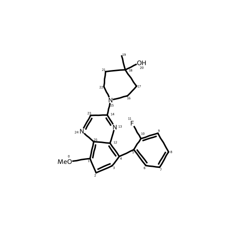 COc1ccc(-c2ccccc2F)c2nc(N3CCC(C)(O)CC3)cnc12